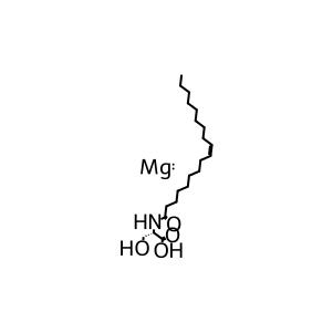 CCCCCCCC/C=C\CCCCCCCC(=O)N[C@@H](CO)C(=O)O.[Mg]